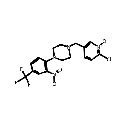 O=[N+]([O-])c1cc(C(F)(F)F)ccc1N1CCN(Cc2ccc(Cl)[n+]([O-])c2)CC1